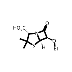 CCO[C@@H]1C(=O)N2[C@@H]1SC(C)(C)[C@@H]2C(=O)O